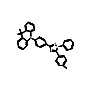 Cc1ccc(-c2nc(-c3ccc(N4c5ccccc5C(C)(C)c5ccccc54)cc3)nn2-c2ccccc2)cc1